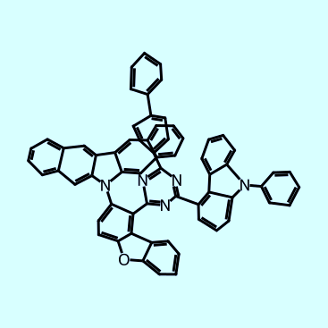 c1ccc(-c2ccc(-c3nc(-c4c(-n5c6cc7ccccc7cc6c6cc7ccccc7cc65)ccc5oc6ccccc6c45)nc(-c4cccc5c4c4ccccc4n5-c4ccccc4)n3)cc2)cc1